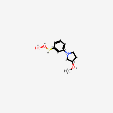 COC1CCN(c2cccc(SOO)c2)C1